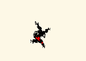 N#Cc1ccc(-c2ccc3c(c2)c2cc(-c4ccc(C#N)cc4)ccc2n3-c2cc(-c3c(C(F)(F)F)cccc3C(F)(F)F)c(-n3c4ccc(-c5ccc(C#N)cc5)cc4c4cc(-c5ccc(C#N)cc5)ccc43)cc2C#N)cc1